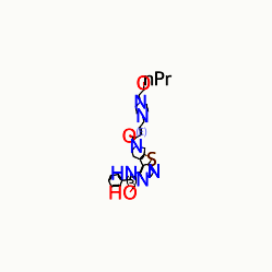 CCCOCCN1CCN(C/C=C/C(=O)N2CCc3c(sc4ncnc(N[C@H](CO)c5ccccc5)c34)C2)CC1